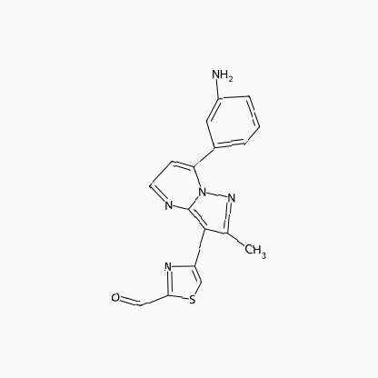 Cc1nn2c(-c3cccc(N)c3)ccnc2c1-c1csc(C=O)n1